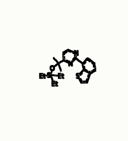 CC[Si](CC)(CC)OC(C)(C)c1ccnc(-c2cccc3ccsc23)n1